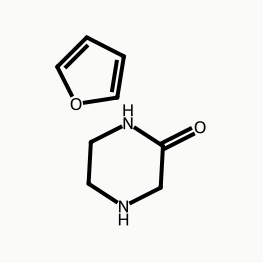 O=C1CNCCN1.c1ccoc1